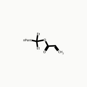 C=CC(=O)OC(CC)(CC)CCCCC